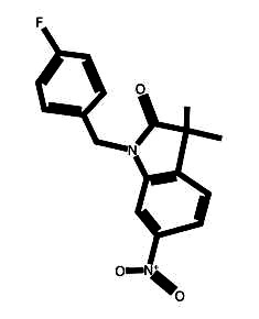 CC1(C)C(=O)N(Cc2ccc(F)cc2)c2cc([N+](=O)[O-])ccc21